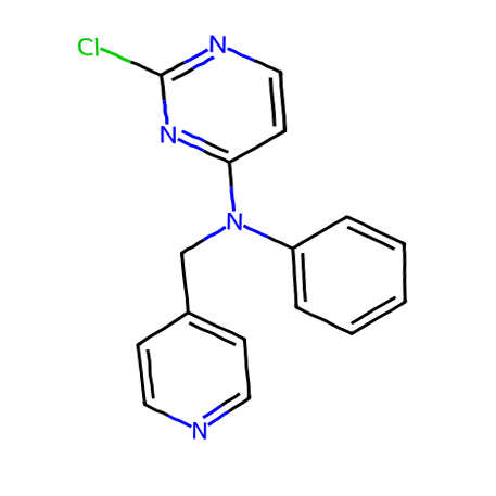 Clc1nccc(N(Cc2ccncc2)c2ccccc2)n1